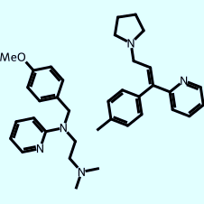 COc1ccc(CN(CCN(C)C)c2ccccn2)cc1.Cc1ccc(/C(=C\CN2CCCC2)c2ccccn2)cc1